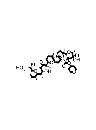 CC[C@@H](C(=O)[C@@H](C)[C@@H](O)[C@H](C)[C@@H]1O[C@@H]([C@@H](CC)C(=O)O)CC[C@@H]1C)[C@H]1O[C@]2(C=C[C@@H](NC(=O)OC3CCOCC3)[C@]3(CC[C@@](C)([C@H]4CC[C@](O)(CC)[C@H](C)O4)O3)O2)[C@H](C)C[C@@H]1C